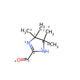 CC1(C)N=C(C=O)NC1(C)C